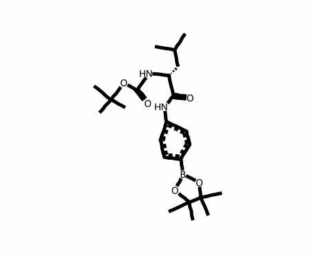 CC(C)C[C@@H](NC(=O)OC(C)(C)C)C(=O)Nc1ccc(B2OC(C)(C)C(C)(C)O2)cc1